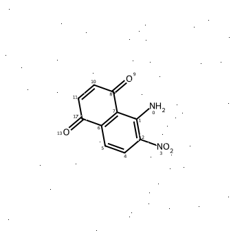 Nc1c([N+](=O)[O-])ccc2c1C(=O)C=CC2=O